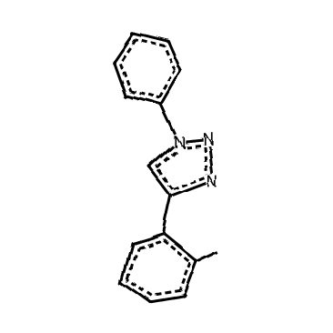 Cc1ccccc1-c1cn(-c2ccccc2)nn1